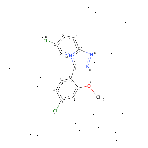 COc1cc(Cl)ccc1-c1nnc2ccc(Cl)cn12